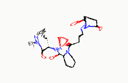 CCNC(=O)[C@H](CC(C)C)NC(=O)[C@@H]1CCCN1C(=O)CCCN1C(=O)C=CC1=O